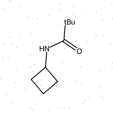 CC(C)(C)C(=O)NC1CCC1